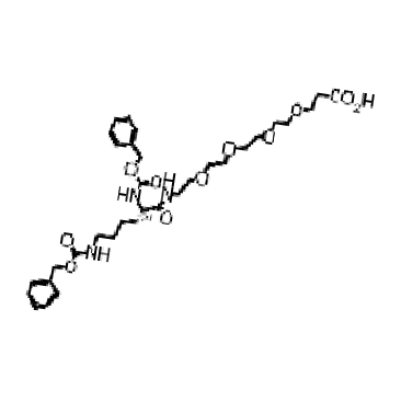 O=C(O)CCOCCOCCOCCOCCNC(=O)[C@H](CCCCNC(=O)OCc1ccccc1)NC(=O)OCc1ccccc1